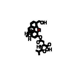 CC(C)C(=O)N[C@@H](CC(=O)OC1=CC[C@@]2(O)[C@H]3Cc4ccc(CO)c5c4[C@@]2(CCN3C)[C@H]1O5)C(=O)O